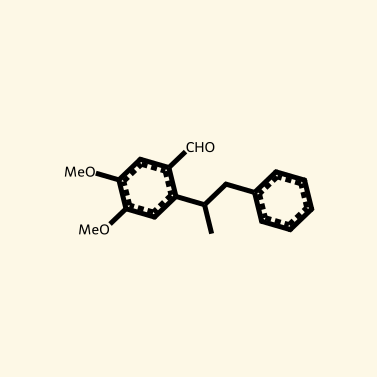 COc1cc(C=O)c(C(C)Cc2ccccc2)cc1OC